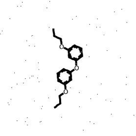 CCCOc1cccc(Oc2cccc(OCCC)c2)c1